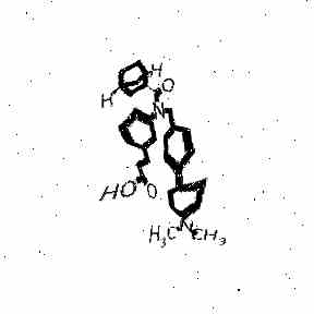 CN(C)c1ccc(-c2ccc(CN(C(=O)[C@@H]3C[C@@H]4CC[C@H]3C4)c3cccc(/C=C/C(=O)O)c3)cc2)cc1